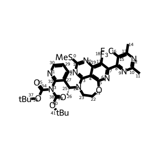 CSc1nc2c3c(nc(-c4nc(C)nc(C)c4C(F)(F)F)c(F)c3n1)OCCN2[C@H](C)c1cccnc1N(C(=O)OC(C)(C)C)C(=O)OC(C)(C)C